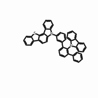 c1ccc(-c2cccc(-c3cccc(-n4c5ccccc5c5c6sc7ccccc7c6ccc54)c3)c2-n2c3ccccc3c3ccccc32)cc1